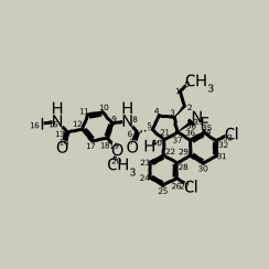 CCC[C@@H]1C[C@@H](C(=O)Nc2ccc(C(=O)NI)cc2OC)[C@@H]2c3cccc(Cl)c3-c3ccc(Cl)c(F)c3[C@@]12C#N